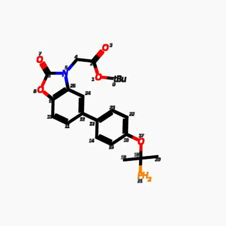 CC(C)(C)OC(=O)Cn1c(=O)oc2ccc(-c3ccc(OC(C)(C)P)cc3)cc21